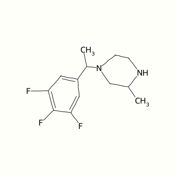 CC1CN(C(C)c2cc(F)c(F)c(F)c2)CCN1